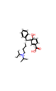 CC(C)N(CCCC[C@H](c1ccccc1)c1cc(C(=O)O)ccc1O)C(C)C